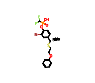 O=P(O)(Oc1ccc(CSCCOc2ccccc2)cc1Br)C(F)F.[Na].[Na]